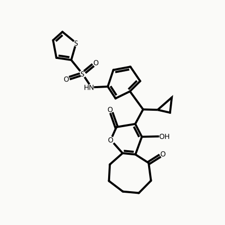 O=C1CCCCCc2oc(=O)c(C(c3cccc(NS(=O)(=O)c4cccs4)c3)C3CC3)c(O)c21